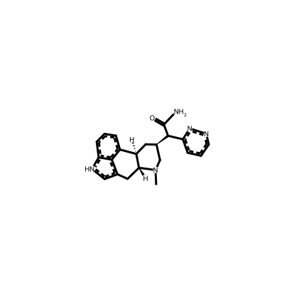 CN1C[C@H](C(C(N)=O)c2cccnn2)C[C@@H]2c3cccc4[nH]cc(c34)C[C@H]21